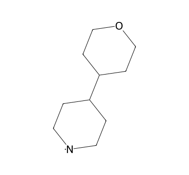 C1CC(C2CCOCC2)CC[N]1